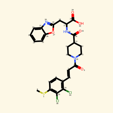 CSc1ccc(C=CC(=O)N2CCC(C(=O)NC(Cc3nc4ccccc4o3)C(=O)O)CC2)c(Cl)c1Cl